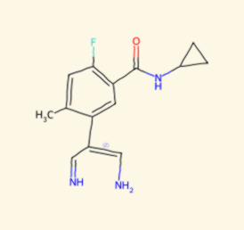 Cc1cc(F)c(C(=O)NC2CC2)cc1/C(C=N)=C/N